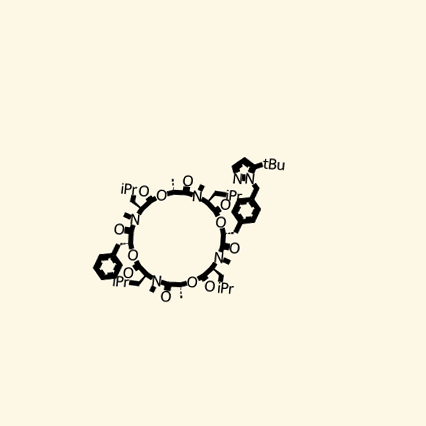 CC(C)C[C@H]1C(=O)O[C@H](Cc2ccc(Cn3nccc3C(C)(C)C)cc2)C(=O)N(C)[C@@H](CC(C)C)C(=O)O[C@H](C)C(=O)N(C)[C@@H](CC(C)C)C(=O)O[C@H](Cc2ccccc2)C(=O)N(C)[C@@H](CC(C)C)C(=O)O[C@H](C)C(=O)N1C